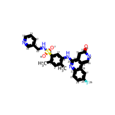 Cc1cc(C)c(S(=O)(=O)NCc2cccnc2)cc1Nc1nc2ccc(F)cc2c2c1=CC(=O)[N]C=2